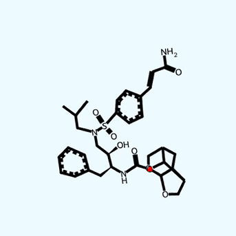 CC(C)CN(C[C@@H](O)[C@H](Cc1ccccc1)NC(=O)OC1C2COC3OCC1C3C2)S(=O)(=O)c1ccc(/C=C/C(N)=O)cc1